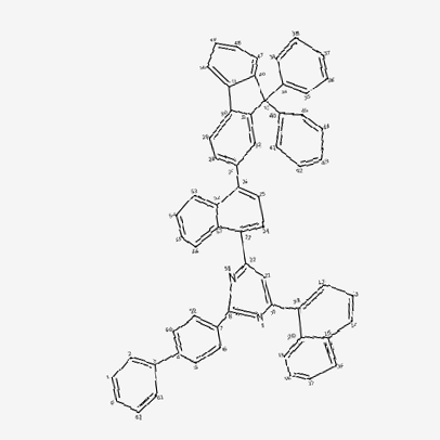 c1ccc(-c2ccc(-c3nc(-c4cccc5ccccc45)cc(-c4ccc(-c5ccc6c(c5)C(c5ccccc5)(c5ccccc5)c5ccccc5-6)c5ccccc45)n3)cc2)cc1